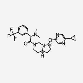 CN(C)C(C(=O)N1CC[C@@H]2CC[C@H](Oc3cnc(C4CC4)cn3)N2C1)c1cccc(C(F)(F)F)c1